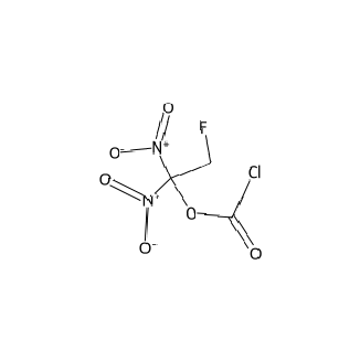 O=C(Cl)OC(CF)([N+](=O)[O-])[N+](=O)[O-]